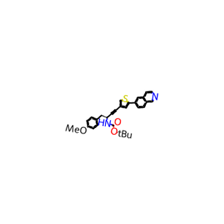 COc1ccc(C[C@@H](C#Cc2csc(-c3ccc4cnccc4c3)c2)NC(=O)OC(C)(C)C)cc1